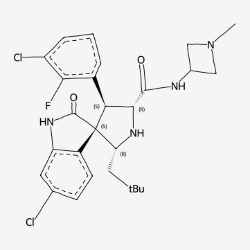 CN1CC(NC(=O)[C@@H]2N[C@H](CC(C)(C)C)[C@]3(C(=O)Nc4cc(Cl)ccc43)[C@H]2c2cccc(Cl)c2F)C1